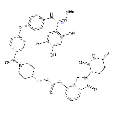 CN/N=C(\Nc1ccc(Oc2ccc(C(=O)N3CCC(COC(=O)Nc4cccc5c4CN(C4CCC(=O)NC4=O)C5=O)CC3)cc2)cc1)c1cc(C(C)C)c(O)cc1O